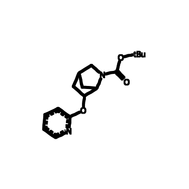 CC(C)(C)OC(=O)N1CC2CC(Oc3ccccn3)C1C2